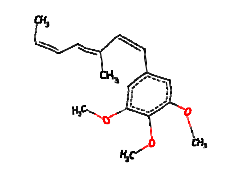 C\C=C/C=C(C)/C=C\c1cc(OC)c(OC)c(OC)c1